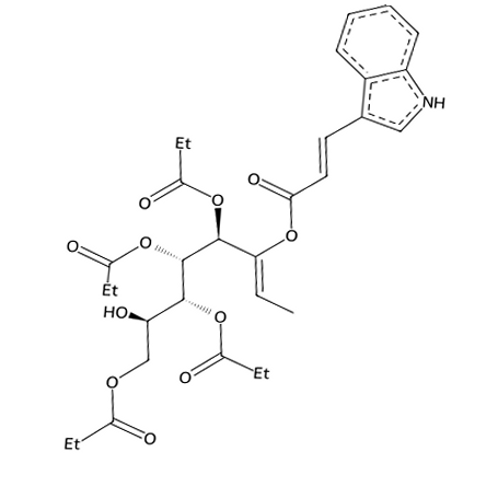 C/C=C(\OC(=O)/C=C/c1c[nH]c2ccccc12)[C@H](OC(=O)CC)[C@@H](OC(=O)CC)[C@H](OC(=O)CC)[C@H](O)COC(=O)CC